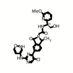 COc1cccc([C@@H](CO)NC(=O)CN2C(=O)c3cc(-c4nc(NC5=CNOC=C5)ncc4Cl)ccc3C2C)n1